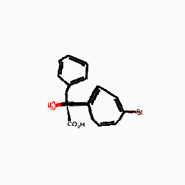 O=C(O)[C@@](O)(c1ccccc1)c1ccc(Br)cc1